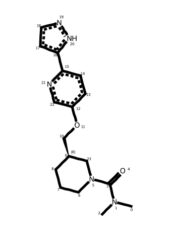 CN(C)C(=O)N1CCC[C@@H](COc2ccc(-c3ccn[nH]3)nc2)C1